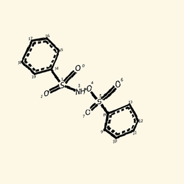 O=S(=O)(NOS(=O)(=O)c1ccccc1)c1ccccc1